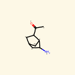 CC(=O)C1CC2CC(N)C1C2